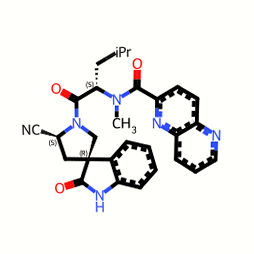 CC(C)C[C@@H](C(=O)N1C[C@]2(C[C@H]1C#N)C(=O)Nc1ccccc12)N(C)C(=O)c1ccc2ncccc2n1